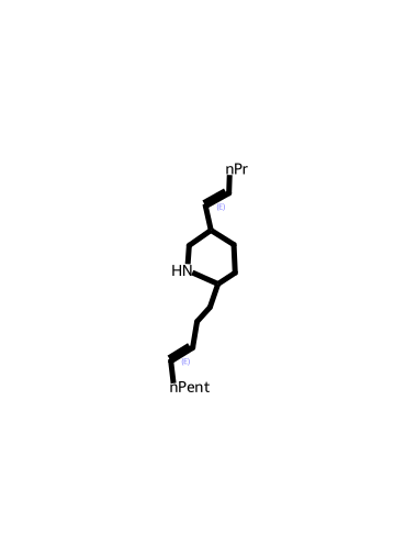 CCC/C=C/C1CCC(CC/C=C/CCCCC)NC1